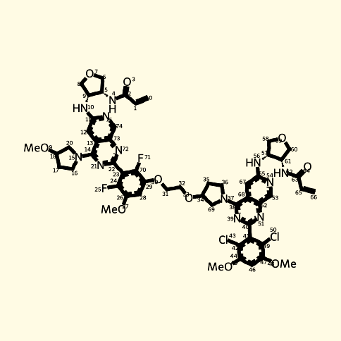 C=CC(=O)N[C@H]1COC[C@H]1Nc1cc2c(N3CCC(OC)C3)nc(-c3c(F)c(OC)cc(OCCOC4CCN(c5nc(-c6c(Cl)c(OC)cc(OC)c6Cl)nc6cnc(N[C@@H]7COC[C@@H]7NC(=O)C=C)cc56)C4)c3F)nc2cn1